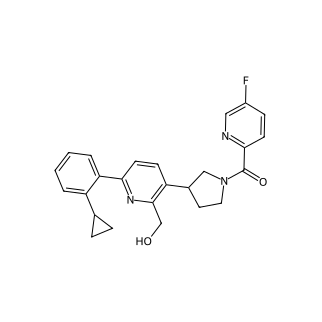 O=C(c1ccc(F)cn1)N1CCC(c2ccc(-c3ccccc3C3CC3)nc2CO)C1